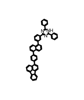 c1ccc(C2=NC(c3cccc(-c4cccc5c(-c6ccc(-c7ccc8c9c(cccc79)-c7ccccc7-8)cc6)cccc45)c3)=NC(c3ccccc3)N2)cc1